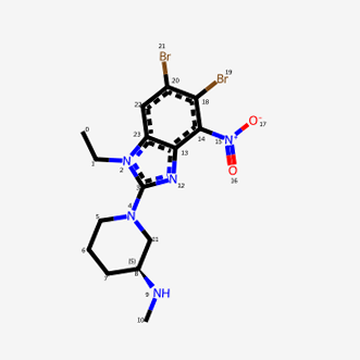 CCn1c(N2CCC[C@H](NC)C2)nc2c([N+](=O)[O-])c(Br)c(Br)cc21